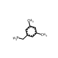 Cc1cc(C)cc(CP)c1